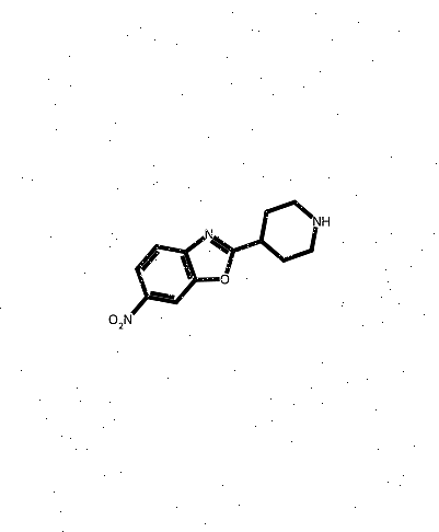 O=[N+]([O-])c1ccc2nc(C3CCNCC3)oc2c1